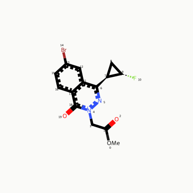 COC(=O)Cn1nc([C@H]2C[C@@H]2F)c2cc(Br)ccc2c1=O